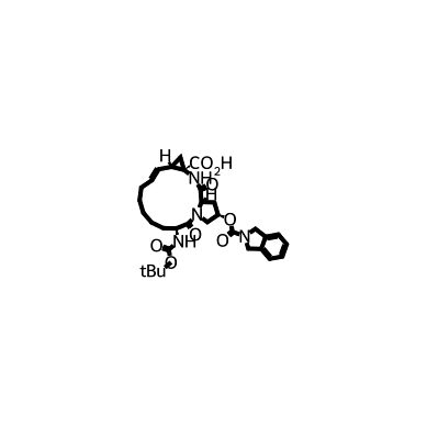 CC(C)(C)OC(=O)N[C@H]1CCCCC/C=C/[C@@H]2C[C@@]2(C(=O)O)NC(=O)[C@@H]2C[C@@H](OC(=O)N3Cc4ccccc4C3)CN2C1=O